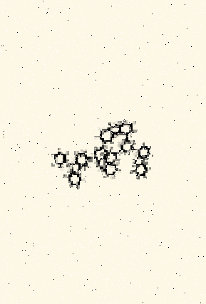 c1ccc(-c2nc(-c3cccc4c3sc3ccccc34)nc(-c3cccc4oc5ccc(-c6cc(-c7ccc8c(c7)c7ccccc7n8-c7ccccc7)c7sc8ccccc8c7c6)cc5c34)n2)cc1